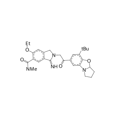 CCOc1cc2c(cc1C(=O)NC)C(=N)N(CC(=O)c1cc3c(c(C(C)(C)C)c1)OC1CCCN31)C2